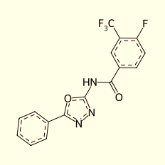 O=C(Nc1nnc(-c2ccccc2)o1)c1ccc(F)c(C(F)(F)F)c1